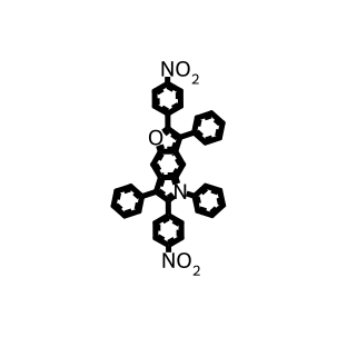 O=[N+]([O-])c1ccc(-c2oc3cc4c(-c5ccccc5)c(-c5ccc([N+](=O)[O-])cc5)n(-c5ccccc5)c4cc3c2-c2ccccc2)cc1